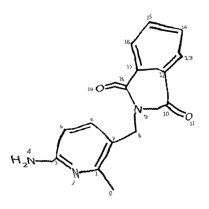 Cc1nc(N)ccc1CN1C(=O)c2ccccc2C1=O